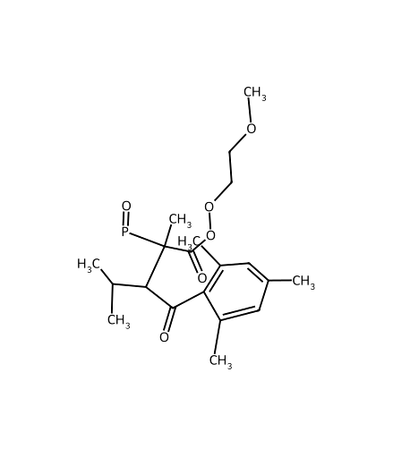 COCCOOC(=O)C(C)(P=O)C(C(=O)c1c(C)cc(C)cc1C)C(C)C